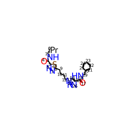 CC(C)CNC(=O)c1nnc(CCCCn2cc(C(=O)NCc3ccccc3)nn2)s1